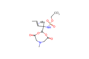 C/C=C/C(CCCC)(NS(=O)(=O)OCC(Cl)(Cl)Cl)B1OC(=O)CN(C)CC(=O)O1